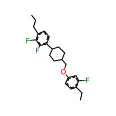 CCCc1ccc(C2CCC(COc3ccc(CC)c(F)c3)CC2)c(F)c1F